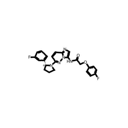 O=C(COc1ccc(F)cc1)Nc1cnc2ccc(N3CCC[C@@H]3c3cccc(F)c3)nn12